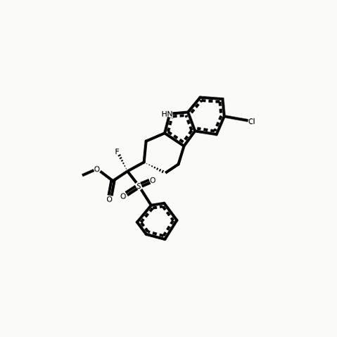 COC(=O)[C@@](F)([C@H]1CCc2c([nH]c3ccc(Cl)cc23)C1)S(=O)(=O)c1ccccc1